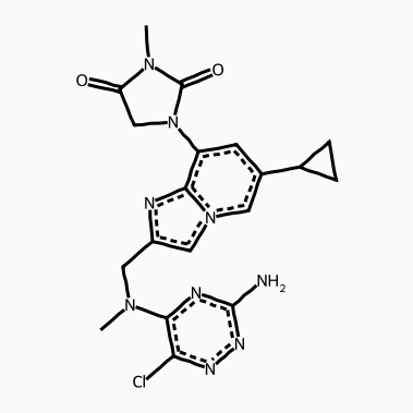 CN1C(=O)CN(c2cc(C3CC3)cn3cc(CN(C)c4nc(N)nnc4Cl)nc23)C1=O